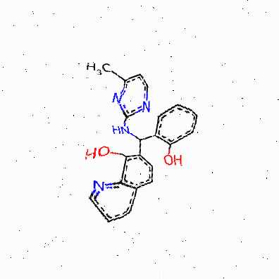 Cc1ccnc(NC(c2ccccc2O)c2ccc3cccnc3c2O)n1